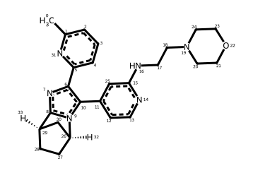 Cc1cccc(-c2nc3n(c2-c2ccnc(NCCN4CCOCC4)c2)[C@H]2CC[C@@H]3C2)n1